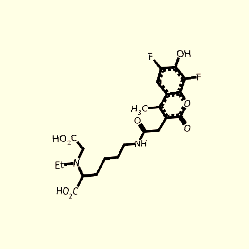 CCN(CC(=O)O)C(CCCCNC(=O)Cc1c(C)c2cc(F)c(O)c(F)c2oc1=O)C(=O)O